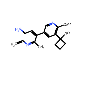 C=C/N=C(C)\C(=C/CN)c1cnc(OC)c(C2(N=O)CCC2)c1